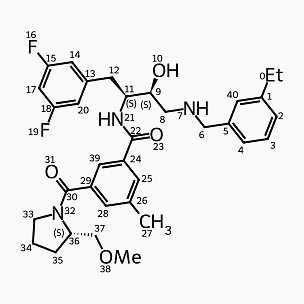 CCc1cccc(CNC[C@H](O)[C@H](Cc2cc(F)cc(F)c2)NC(=O)c2cc(C)cc(C(=O)N3CCC[C@H]3COC)c2)c1